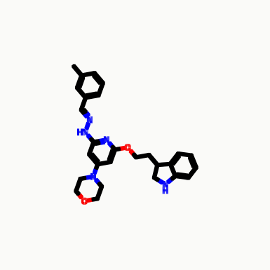 Cc1cccc(/C=N/Nc2cc(N3CCOCC3)cc(OCCC3CNc4ccccc43)n2)c1